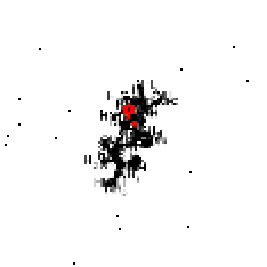 CC[C@H](C)[C@H](NC(=O)[C@H](Cc1ccc(O)cc1)NC(=O)CNC(=O)[C@H](CCSC)NC(=O)[C@H](CCC(=O)O)NC(=O)[C@H](CCC(N)=O)NC(=O)[C@H](Cc1c[nH]c2ccccc12)NC(=O)[C@@H](N)CCCNC(=N)N)C(=O)N[C@@H](Cc1ccccc1)C(=O)N[C@@H](Cc1ccc(O)cc1)C(=O)N1CCC[C@H]1C(=O)N[C@@H](CCCNC(=N)N)C(=O)N[C@@H](CCCCN)C(=O)N[C@@H](CC(C)C)C(=O)N[C@@H](CCCNC(=N)N)C(=O)O